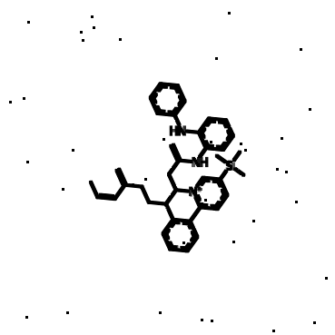 C=C(/C=C\C)CCC1c2ccccc2-c2ccc([Si](C)(C)C)c[n+]2C1CC(=C)Nc1ccccc1Nc1ccccc1